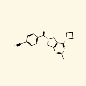 Cc1nc2c(c(N3CCC3)n1)[C@@H](C)N(C(=O)c1ccc(C#N)cc1)C2